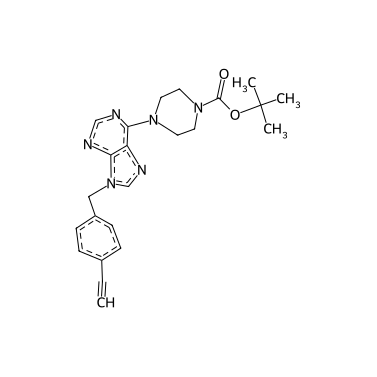 C#Cc1ccc(Cn2cnc3c(N4CCN(C(=O)OC(C)(C)C)CC4)ncnc32)cc1